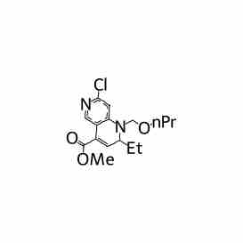 CCCOCN1c2cc(Cl)ncc2C(C(=O)OC)=CC1CC